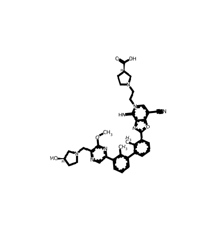 COc1nc(-c2cccc(-c3cccc(-c4nc5c(=N)n(CCN6CC[C@@H](C(=O)O)C6)cc(C#N)c5o4)c3C)c2C)cnc1CN1CC[C@@H](O)C1